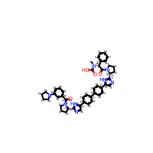 CN(C(=O)O)[C@@H](C(=O)N1CCC[C@H]1c1ncc(-c2ccc(-c3ccc(-c4cnc([C@@H]5CCCN5C(=O)c5cccc(N6CCCC6)c5)[nH]4)cc3)cc2)[nH]1)c1ccccc1